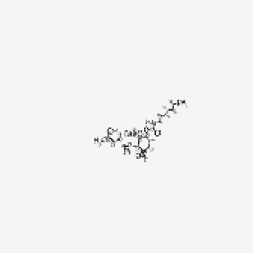 COC1C(OC(=O)NCCCCCCN)CC[C@]2(CO2)C1C1O[C@@H]1CC=C(C)C